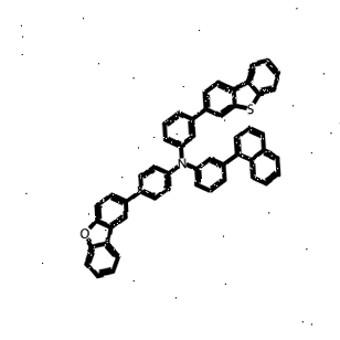 c1cc(-c2ccc3c(c2)sc2ccccc23)cc(N(c2ccc(-c3ccc4oc5ccccc5c4c3)cc2)c2cccc(-c3cccc4ccccc34)c2)c1